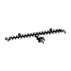 CCCCCCCC(=O)CCCCCCCCCCC(CCCCCCCCCCC(=O)CCCCCCC)CCCN(C)C